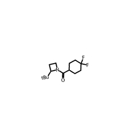 CC(C)(C)C1CCN1C(=O)C1CCC(F)(F)CC1